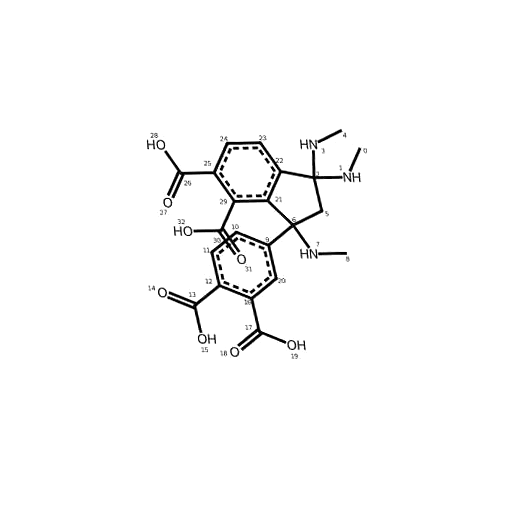 CNC1(NC)CC(NC)(c2ccc(C(=O)O)c(C(=O)O)c2)c2c1ccc(C(=O)O)c2C(=O)O